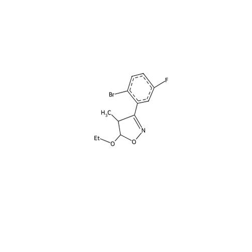 CCOC1ON=C(c2cc(F)ccc2Br)C1C